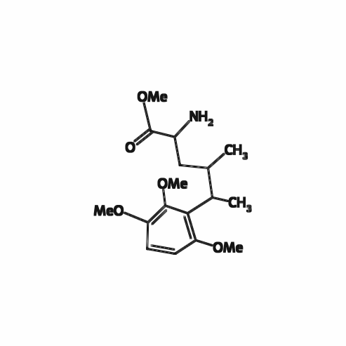 COC(=O)C(N)CC(C)C(C)c1c(OC)ccc(OC)c1OC